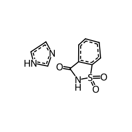 O=C1NS(=O)(=O)c2ccccc21.c1c[nH]cn1